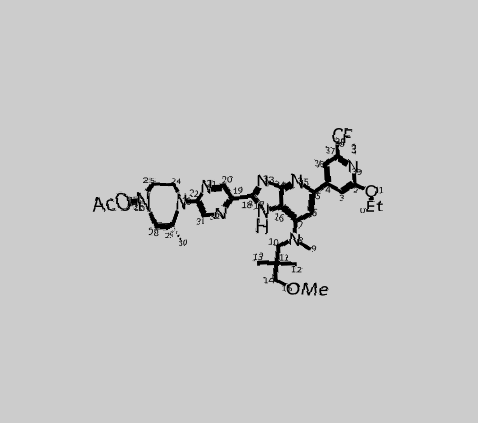 CCOc1cc(-c2cc(N(C)CC(C)(C)COC)c3[nH]c(-c4cnc(N5CCN(OC(C)=O)C[C@H]5C)cn4)nc3n2)cc(C(F)(F)F)n1